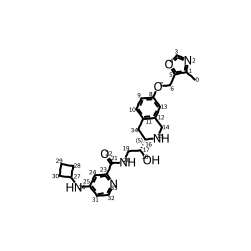 Cc1ncoc1COc1ccc2c(c1)CN[C@H](C(O)CNC(=O)c1cc(NC3CCC3)ccn1)C2